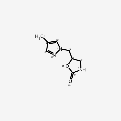 Cc1cnn(CC2CNC(=O)O2)c1